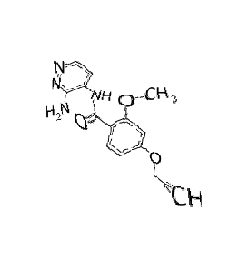 C#CCOc1ccc(C(=O)Nc2ccnnc2N)c(OC)c1